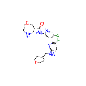 O=C(Nc1cc(-c2nc(NCC3CCOCC3)ccc2Cl)c(Cl)cn1)C1CNCCOC1